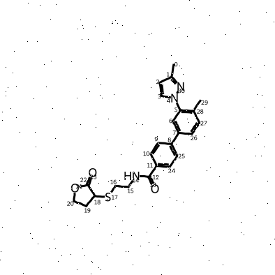 Cc1ccn(-c2cc(-c3ccc(C(=O)NCCSC4CCOC4=O)cc3)ccc2C)n1